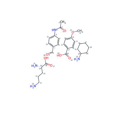 CC(=O)Nc1ccc(C=O)cc1.COc1ccc(C(=O)O)cc1.NC1CCCCC1.NCCC[C@H](N)C(=O)O